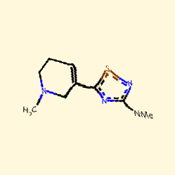 CNc1nsc(C2=CCCN(C)C2)n1